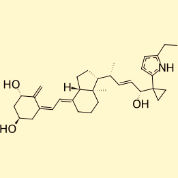 C=C1/C(=C\C=C2/CCC[C@]3(C)[C@@H]([C@H](C)/C=C/[C@@H](O)C4(c5ccc(CC)[nH]5)CC4)CC[C@@H]23)C[C@@H](O)C[C@@H]1O